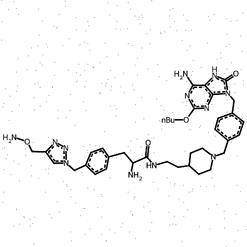 CCCCOc1nc(N)c2[nH]c(=O)n(Cc3ccc(CN4CCC(CCNC(=O)C(N)Cc5ccc(Cn6cc(CON)nn6)cc5)CC4)cc3)c2n1